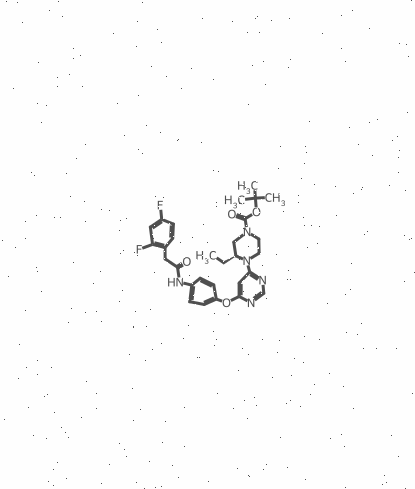 CC[C@H]1CN(C(=O)OC(C)(C)C)CCN1c1cc(Oc2ccc(NC(=O)Cc3ccc(F)cc3F)cc2)ncn1